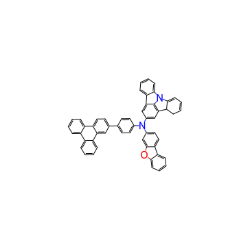 C1=CCC2C(=C1)n1c3ccccc3c3cc(N(c4ccc(-c5ccc6c7ccccc7c7ccccc7c6c5)cc4)c4ccc5c(c4)oc4ccccc45)cc2c31